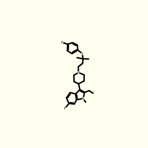 CCc1c(C2CCN(CCC(C)(C)Sc3ccc(F)cc3)CC2)c2ccc(F)cc2n1C